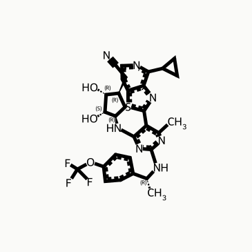 Cc1nc(N[C@H](C)c2ccc(OC(F)(F)F)cc2)nc(N[C@@H]2C[C@H](CC#N)[C@@H](O)[C@H]2O)c1-c1nc2c(C3CC3)nccc2s1